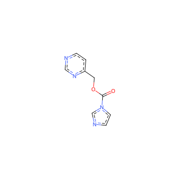 O=C(OCc1ccncn1)n1ccnc1